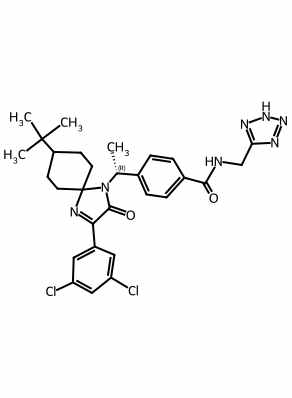 C[C@H](c1ccc(C(=O)NCc2nn[nH]n2)cc1)N1C(=O)C(c2cc(Cl)cc(Cl)c2)=NC12CCC(C(C)(C)C)CC2